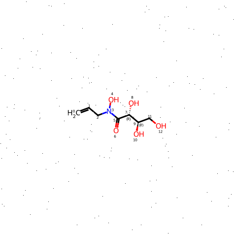 C=CCN(O)C(=O)[C@H](O)[C@H](O)CO